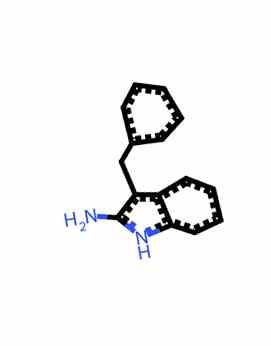 Nc1[nH]c2ccccc2c1Cc1ccccc1